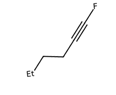 [CH2]CCCC#CF